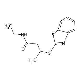 CCNC(=O)CC(C)Sc1nc2ccccc2s1